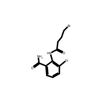 CCc1cccc(C(N)=O)c1NC(=O)CCCBr